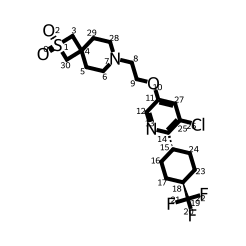 O=S1(=O)CC2(CCN(CCOc3cnc([C@H]4CC[C@H](C(F)(F)F)CC4)c(Cl)c3)CC2)C1